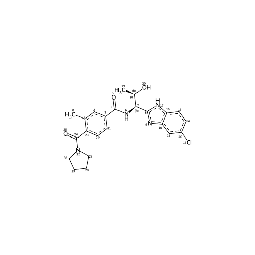 Cc1cc(C(=O)N[C@H](c2nc3cc(Cl)ccc3[nH]2)[C@@H](C)O)ccc1C(=O)N1CCCC1